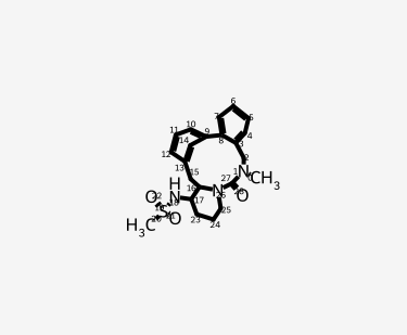 CN1Cc2ccccc2-c2cccc(c2)CC2C(NS(C)(=O)=O)CCCN2C1=O